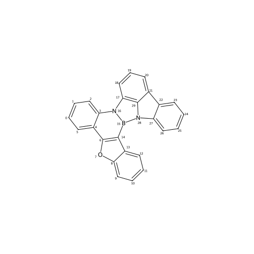 c1ccc2c(c1)-c1oc3ccccc3c1B1N2c2cccc3c4ccccc4n1c23